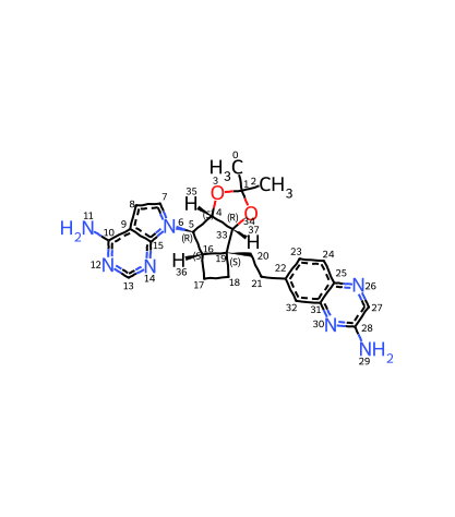 CC1(C)O[C@H]2[C@H](n3ccc4c(N)ncnc43)[C@H]3CC[C@@]3(CCc3ccc4ncc(N)nc4c3)[C@H]2O1